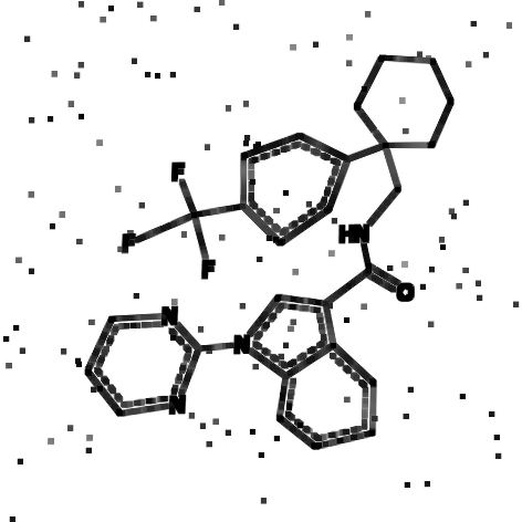 O=C(NCC1(c2ccc(C(F)(F)F)cc2)CCCCC1)c1cn(-c2ncccn2)c2ccccc12